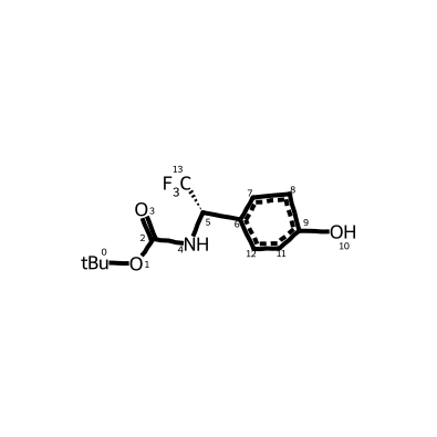 CC(C)(C)OC(=O)N[C@@H](c1ccc(O)cc1)C(F)(F)F